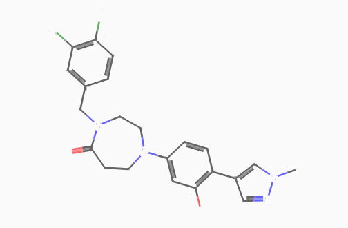 Cn1cc(-c2ccc(N3CCC(=O)N(Cc4ccc(Cl)c(Cl)c4)CC3)cc2O)cn1